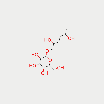 CC(O)CCC(O)COC1O[C@H](CO)[C@@H](O)[C@H](O)[C@H]1O